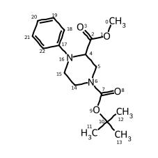 COC(=O)C1CN(C(=O)OC(C)(C)C)CCN1c1ccccc1